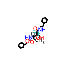 CC[C@](C)(NC(=O)OCc1ccccc1)C(O)C(F)(F)C(=O)NCCc1ccccc1